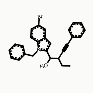 CCC(C#Cc1ccccc1)C(O)c1cc2cc(Br)ccc2n1Cc1ccccc1